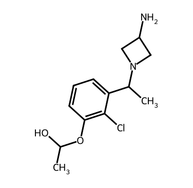 CC(O)Oc1cccc(C(C)N2CC(N)C2)c1Cl